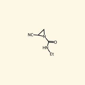 CCNC(=O)N1CC1C#N